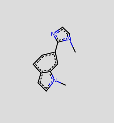 Cn1ccnc1-c1ccc2ccn(C)c2c1